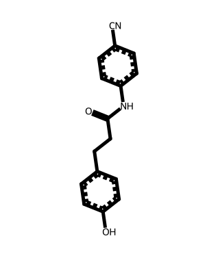 N#Cc1ccc(NC(=O)CCc2ccc(O)cc2)cc1